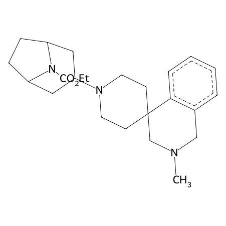 CCOC(=O)N1C2CCC1CC(N1CCC3(CC1)CN(C)Cc1ccccc13)C2